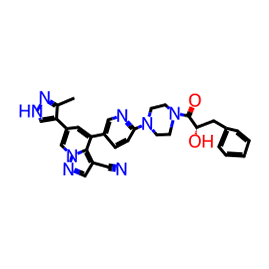 Cc1n[nH]cc1-c1cc(-c2ccc(N3CCN(C(=O)[C@@H](O)Cc4ccccc4)CC3)nc2)c2c(C#N)cnn2c1